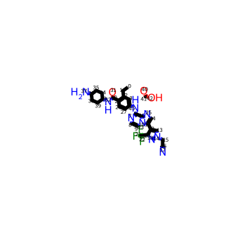 CCc1cc(Nc2nccn3c(-c4cn(CC#N)nc4C(F)(F)F)cnc23)ccc1C(=O)NC1CCC(N)CC1.O=CO